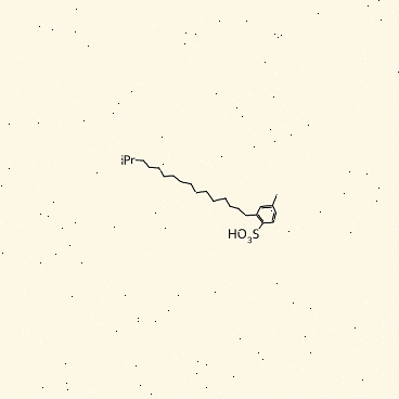 Cc1ccc(S(=O)(=O)O)c(CCCCCCCCCCCCCCC(C)C)c1